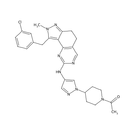 CC(=O)N1CCC(n2cc(Nc3ncc4c(n3)-c3c(nn(C)c3Cc3cccc(Cl)c3)CC4)cn2)CC1